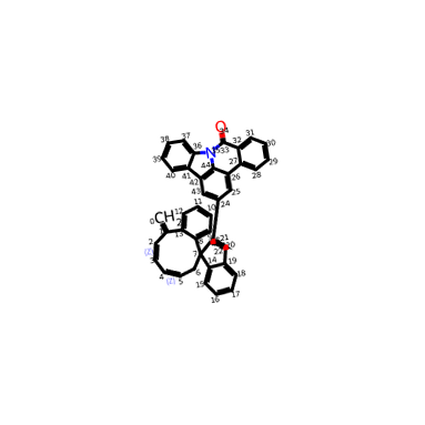 C=C1/C=C\C=C/CC2(c3ccccc31)c1ccccc1-c1ccc(-c3cc4c5ccccc5c(=O)n5c6ccccc6c(c3)c45)cc12